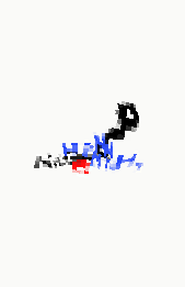 COC(=O)c1nc2c(N)nc(CCc3ccccc3)nc2[nH]1